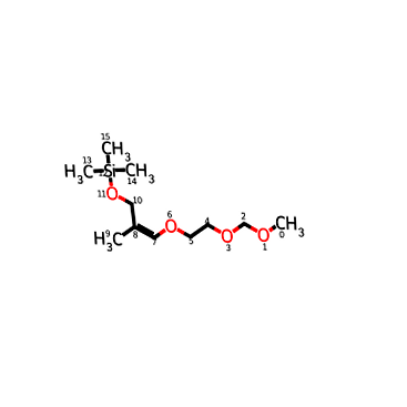 COCOCCOC=C(C)CO[Si](C)(C)C